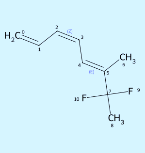 C=C/C=C\C=C(/C)C(C)(F)F